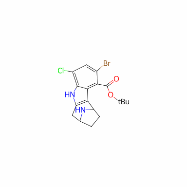 CC(C)(C)OC(=O)c1c(Br)cc(Cl)c2[nH]c3c(c12)C1CCC(C3)N1